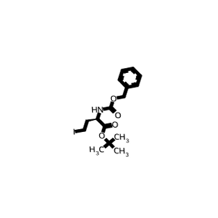 CC(C)(C)OC(=O)[C@@H](CCI)NC(=O)OCc1ccccc1